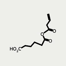 C=CCC(=O)OC(=O)CCCCC(=O)O